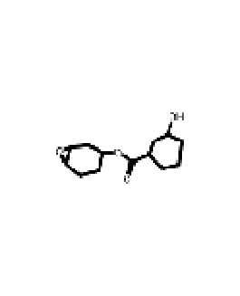 O=C(OC1CCC2OC2C1)C1CCCC(O)C1